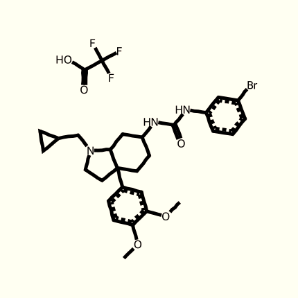 COc1ccc(C23CCC(NC(=O)Nc4cccc(Br)c4)CC2N(CC2CC2)CC3)cc1OC.O=C(O)C(F)(F)F